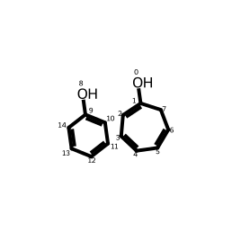 OC1=CC=CC=CC1.Oc1ccccc1